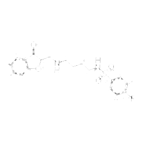 O=C1c2ccccc2OC1CNCCCCNS(=O)(=O)c1ccc(F)cc1